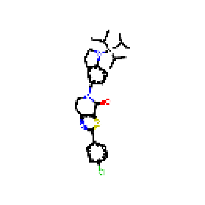 CC(C)[Si](C(C)C)(C(C)C)N1CCc2cc(N3CCc4nc(-c5ccc(Cl)cc5)sc4C3=O)ccc21